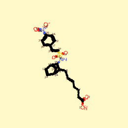 O=C(O)CCCC=CCC1C2CCC(C2)C1NS(=O)(=O)C=Cc1ccc([N+](=O)[O-])cc1